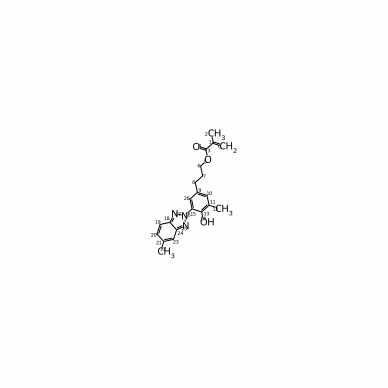 C=C(C)C(=O)OCCCc1cc(C)c(O)c(-n2nc3ccc(C)cc3n2)c1